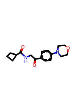 O=C(CNC(=O)C1CCC1)c1ccc(N2CCOCC2)cc1